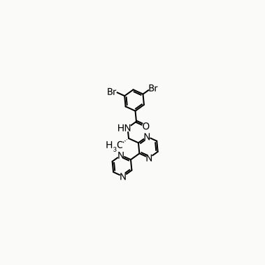 C[C@H](NC(=O)c1cc(Br)cc(Br)c1)c1nccnc1-c1cnccn1